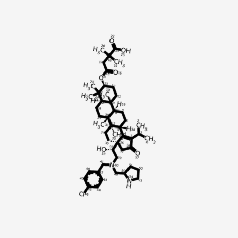 CC(C)C1=C2[C@H]3CC[C@@H]4[C@@]5(C)CC[C@H](OC(=O)CC(C)(C)C(=O)O)C(C)(C)[C@@H]5CC[C@@]4(C)[C@]3(C)CC[C@@]2([C@@H](O)CN(Cc2ccc(Cl)cc2)CC2CCCN2)CC1=O